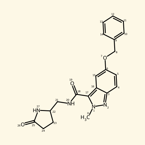 Cn1nc2ccc(OCc3ccccc3)cc2c1C(=O)NCC1CCC(=O)N1